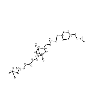 COCCN1CCN(CCOCCN2C[C@@H]3C[C@H]2CN3CCOCCNCC(C)(C)C)CC1